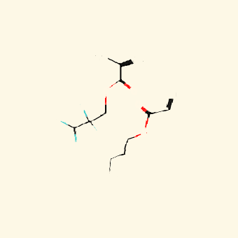 C=C(C)C(=O)OCC(F)(F)C(F)F.C=CC(=O)OCCCC